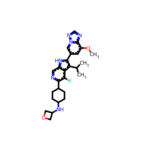 COc1cc(-c2[nH]c3cnc(C4CCC(NC5COC5)CC4)c(F)c3c2C(C)C)cn2ncnc12